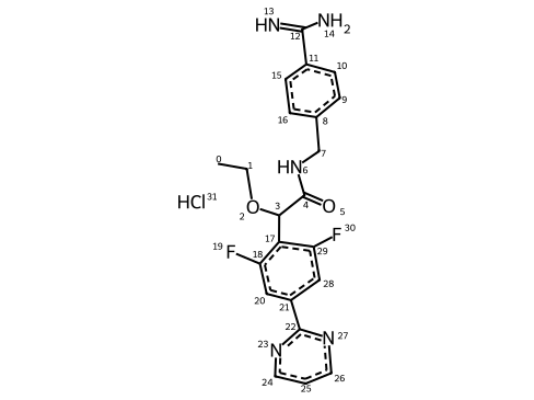 CCOC(C(=O)NCc1ccc(C(=N)N)cc1)c1c(F)cc(-c2ncccn2)cc1F.Cl